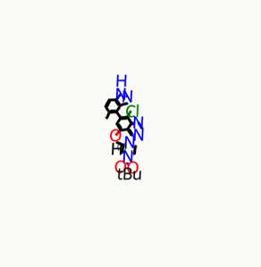 Cc1ccc2[nH]ncc2c1-c1cc2c3c(ncnc3c1Cl)N1CCN(C(=O)OC(C)(C)C)C[C@H]1CO2